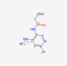 CC(=O)OCC(=O)Nc1cnc(Br)cc1NC(C)C